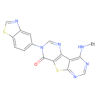 CCNc1ncnc2sc3c(=O)n(-c4ccc5scnc5c4)cnc3c12